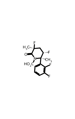 C[C@]1(F)C[C@H](F)[C@@](C)(c2cccc(F)c2F)N(C(=O)O)C1=O